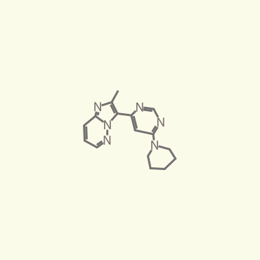 Cc1nc2cccnn2c1-c1cc(N2CCCCC2)ncn1